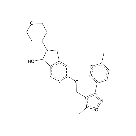 Cc1ccc(-c2noc(C)c2COc2cc3c(cn2)C(O)N(C2CCOCC2)C3)cn1